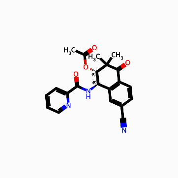 CC(=O)O[C@H]1[C@H](NC(=O)c2ccccn2)c2cc(C#N)ccc2C(=O)C1(C)C